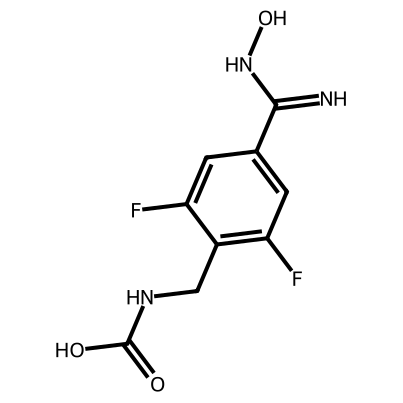 N=C(NO)c1cc(F)c(CNC(=O)O)c(F)c1